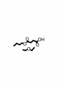 CCCCOC(=O)CCC(=O)O.CCOCC